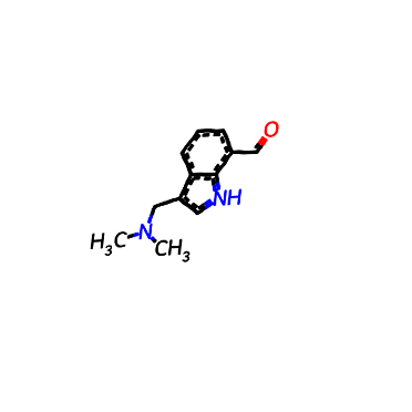 CN(C)Cc1c[nH]c2c(C=O)cccc12